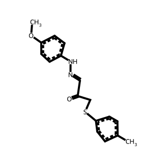 COc1ccc(NN=CC(=O)CSc2ccc(C)cc2)cc1